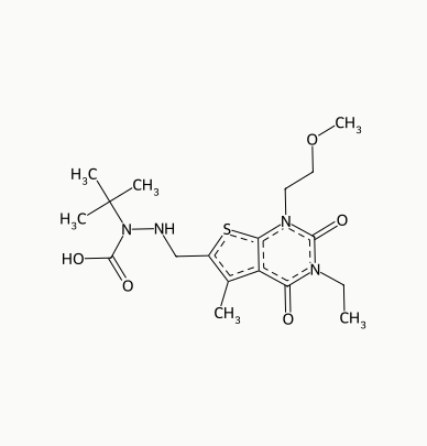 CCn1c(=O)c2c(C)c(CNN(C(=O)O)C(C)(C)C)sc2n(CCOC)c1=O